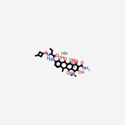 Br.CCC(NOC1CC(C)C1)C(=O)Nc1ccc2c(c1O)C(=O)C1=C(O)[C@]3(O)C(=O)C(C(N)=O)=C(O)[C@@H](N(C)C)C3C(O)C1C2C